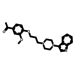 COc1cc(C(C)=O)ccc1OCCCN1CCN(c2csc3ccccc23)CC1